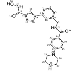 O=C(NCc1cccc(-c2ccc(C(=O)NO)s2)c1)c1ccc(N2CCNCC2)cc1